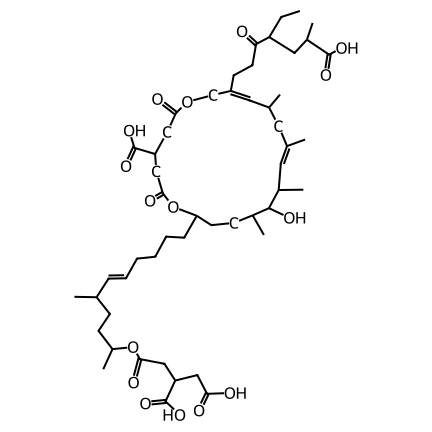 CCC(CC(C)C(=O)O)C(=O)CC/C1=C/C(C)C/C(C)=C/C(C)C(O)C(C)CCC(CCCC/C=C/C(C)CCC(C)OC(=O)CC(CC(=O)O)C(=O)O)OC(=O)CC(C(=O)O)CC(=O)OC1